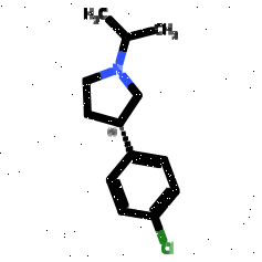 CC(C)N1CC[C@@H](c2ccc(Cl)cc2)C1